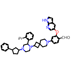 CC(C)c1ccccc1C1CN(C2CCC(c3ccccc3)C2)CCN1C1CC2(CCN(c3ccc(C=O)c(Oc4cnc5[nH]ccc5c4)c3)CC2)C1